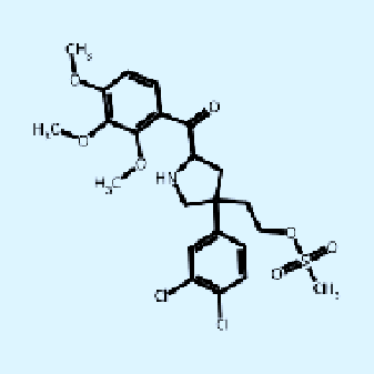 COc1ccc(C(=O)C2CC(CCOS(C)(=O)=O)(c3ccc(Cl)c(Cl)c3)CN2)c(OC)c1OC